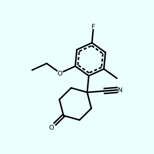 CCOc1cc(F)cc(C)c1C1(C#N)CCC(=O)CC1